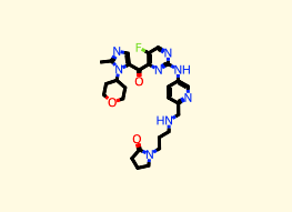 Cc1ncc(C(=O)c2nc(Nc3ccc(CNCCCN4CCCC4=O)nc3)ncc2F)n1C1CCOCC1